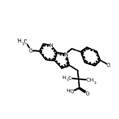 COc1cnc2c(c1)cc(CC(C)(C)C(=O)O)n2Cc1ccc(Cl)cc1